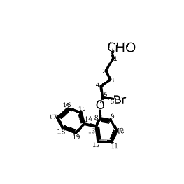 O=CCCCCC(Br)Oc1ccccc1-c1ccccc1